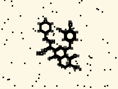 Cl.N[C@H]1CSC2=C(F)C(C(=O)NCC3CCOCC3)=CN(Cc3ccc(Cl)c(F)c3)C2C1=O